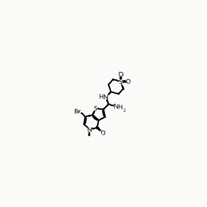 Cn1cc(Br)c2sc(C(N)NC3CCS(=O)(=O)CC3)cc2c1=O